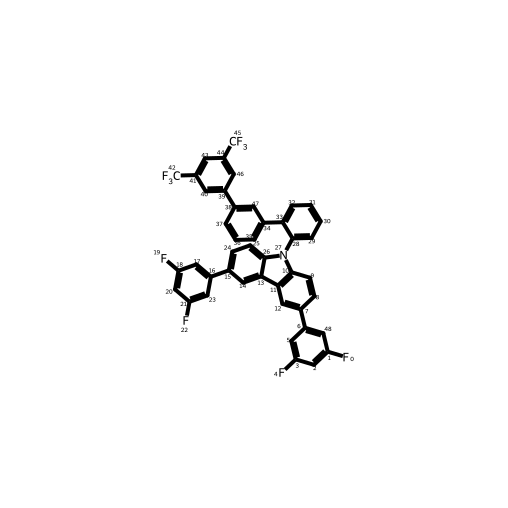 Fc1cc(F)cc(-c2ccc3c(c2)c2cc(-c4cc(F)cc(F)c4)ccc2n3-c2ccccc2-c2cccc(-c3cc(C(F)(F)F)cc(C(F)(F)F)c3)c2)c1